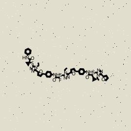 CCn1c(SC(F)C(=O)Nc2ccc(-c3ccc(-c4nnc(SC5(C(=O)Nc6ccccc6)CC5)n4CC)o3)cc2)nnc1-c1ccc(-c2ccc(NC(=O)C(Sc3nnc(-c4ccco4)n3CC)C3CC3)cc2)o1